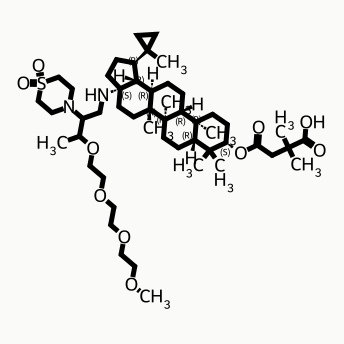 COCCOCCOCCOC(C)C(CN[C@]12CC[C@@H](C3(C)CC3)[C@@H]1[C@H]1CC[C@@H]3[C@@]4(C)CC[C@H](OC(=O)CC(C)(C)C(=O)O)C(C)(C)[C@@H]4CC[C@@]3(C)[C@]1(C)CC2)N1CCS(=O)(=O)CC1